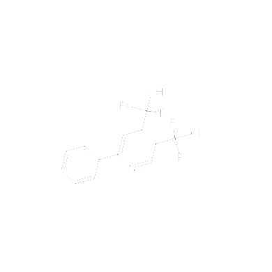 CCC(C)(CC)c1cnc(-c2ccccc2)cc1C(C)(CC)CC